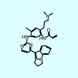 C=CC(=O)Nc1cc(Nc2nccc(-c3c4n(c5ccccc35)CCC4)n2)c(C)cc1CCCN(C)C